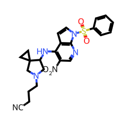 N#CCCCN1CC(Nc2c([N+](=O)[O-])cnc3c2ccn3S(=O)(=O)c2ccccc2)C2(CC2)C1